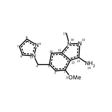 COc1cc(Cn2cccn2)cc2c1c(N)nn2C